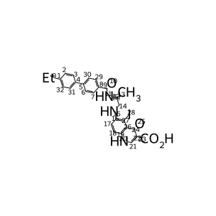 CCc1ccc(-c2ccc(C(=O)N[C@@H](C)CNc3ccc4[nH]cc(C(=O)O)c(=O)c4c3I)cc2)cc1